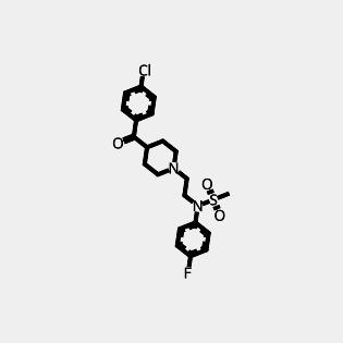 CS(=O)(=O)N(CCN1CCC(C(=O)c2ccc(Cl)cc2)CC1)c1ccc(F)cc1